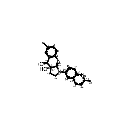 Cc1ccc2c(c1)C(=O)[C@]1(O)CCN(c3ccc4nc(C)ccc4c3)C1=N2